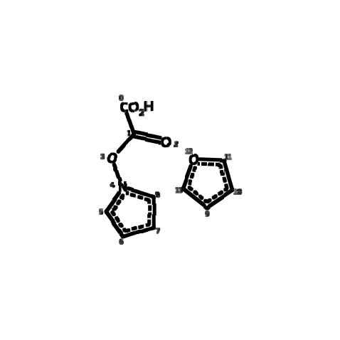 O=C(O)C(=O)On1cccc1.c1ccoc1